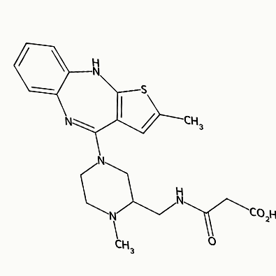 Cc1cc2c(s1)Nc1ccccc1N=C2N1CCN(C)C(CNC(=O)CC(=O)O)C1